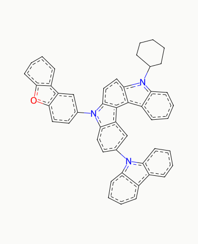 c1ccc2c(c1)oc1ccc(-n3c4ccc(-n5c6ccccc6c6ccccc65)cc4c4c5c6ccccc6n(C6CCCCC6)c5ccc43)cc12